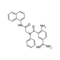 N=C(N)c1ccc(N)c(C(=O)N(CC(=O)Nc2cccc3ccccc23)c2ccccc2)c1